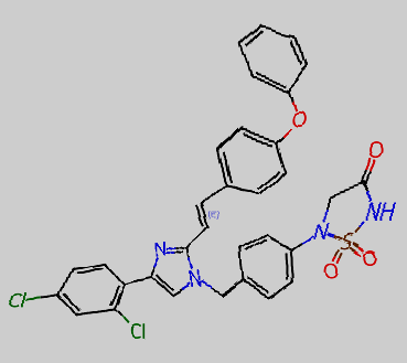 O=C1CN(c2ccc(Cn3cc(-c4ccc(Cl)cc4Cl)nc3/C=C/c3ccc(Oc4ccccc4)cc3)cc2)S(=O)(=O)N1